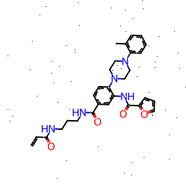 C=CC(=O)NCCCNC(=O)c1ccc(N2CCN(c3ccccc3C)CC2)c(NC(=O)c2ccco2)c1